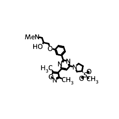 CNCC(O)COc1cccc(-c2nc(-c3c(C)noc3C)cc(N3CC[C@H](S(C)(=O)=O)C3)n2)c1